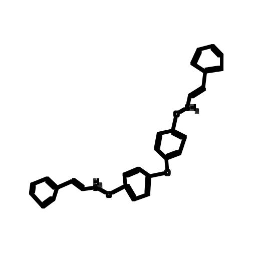 C(=Cc1ccccc1)[SiH2]Oc1ccc(Oc2ccc(O[SiH2]C=Cc3ccccc3)cc2)cc1